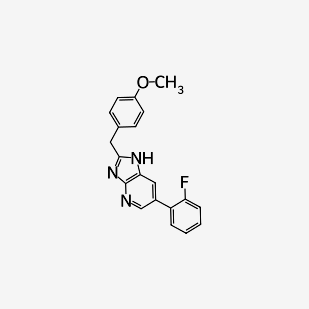 COc1ccc(Cc2nc3ncc(-c4ccccc4F)cc3[nH]2)cc1